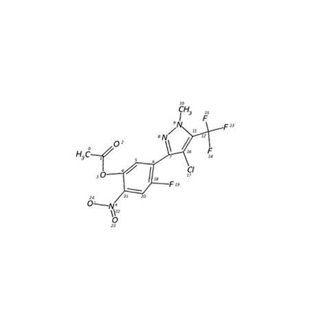 CC(=O)Oc1cc(-c2nn(C)c(C(F)(F)F)c2Cl)c(F)cc1[N+](=O)[O-]